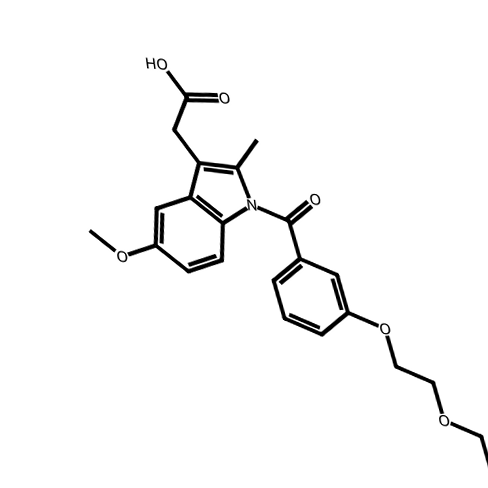 CCOCCOc1cccc(C(=O)n2c(C)c(CC(=O)O)c3cc(OC)ccc32)c1